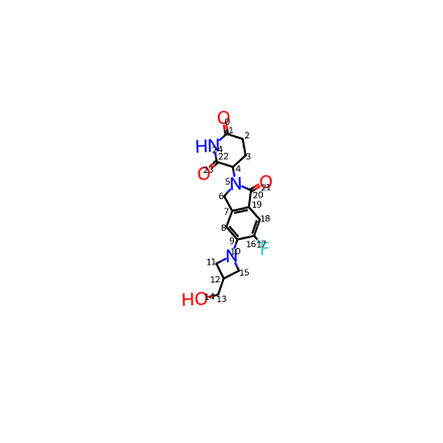 O=C1CCC(N2Cc3cc(N4CC(CO)C4)c(F)cc3C2=O)C(=O)N1